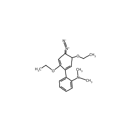 CCOC1=CC(=[N+]=[N-])C(OCC)C=C1c1ccccc1N(C)C